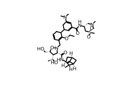 C=C1[C@H]2C[C@H](NC(=O)[C@@H]3[C@H]([C@H](C)O)[C@H](CO)ON3CC3=C(OCC)C(C4C=C(C(=O)N[C@H](CN(C)C)CS(C)(=O)=O)C=C(N(C)C)C4)CC=C3)[C@@H](C)[C@@H]1C2